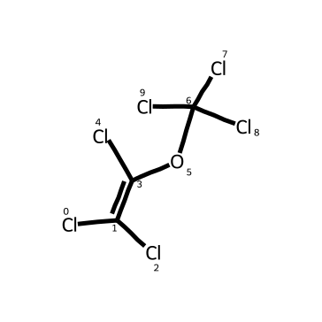 ClC(Cl)=C(Cl)OC(Cl)(Cl)Cl